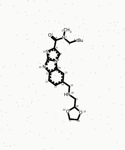 CN(CC(C)(C)C)C(=O)c1cn2c(nc3ccc(CNCC4OCCO4)cc32)s1